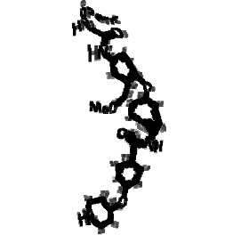 CCCCCNC(=O)Nc1ccc(Oc2ccc(NC(=O)c3ccc(OC4CCNCC4)cc3)cc2)c(COC)c1